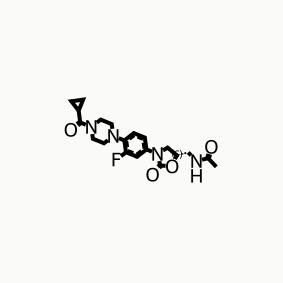 CC(=O)NC[C@H]1CN(c2ccc(N3CCN(C(=O)C4CC4)CC3)c(F)c2)C(=O)O1